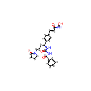 O=C(C=Cc1ccc(C(CCCN2CCCC2=O)NC(=O)NC(=O)c2ccccc2)cc1)NO